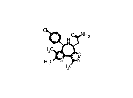 Cc1noc2c1-c1sc(C)c(C)c1[C@@H](c1ccc(Cl)cc1)N[C@H]2CC(N)=O